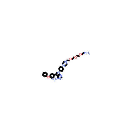 NCCOCCOCCOCCN1CCN([C@H]2CC[C@H](n3cc(-c4ccc(Oc5ccccc5)cc4)c4c(N)ncnc43)CC2)CC1